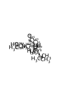 CC(C)(C)C#C[C@]1(O)CC[C@H]2[C@@H]3CCC4=CC(=O)CCC4=C3[C@@H](c3ccc(N4CCC(C)(O)CC4)cc3)C[C@@]21C